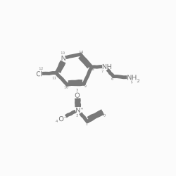 C=C[N+](=O)[O-].NCNc1ccc(Cl)nc1